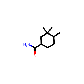 CC1CCC(C(N)=O)CC1(C)C